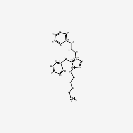 CCCCCCn1cc[n+](CCCc2ccccc2)c1Cc1ccccc1